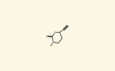 C#CC1CCN(C)C(=S)O1